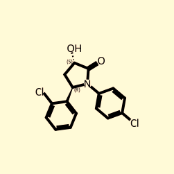 O=C1[C@@H](O)C[C@H](c2ccccc2Cl)N1c1ccc(Cl)cc1